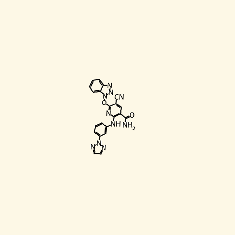 N#Cc1cc(C(N)=O)c(Nc2cccc(-n3nccn3)c2)nc1On1nnc2ccccc21